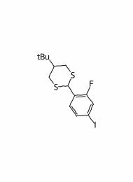 CC(C)(C)C1CSC(c2ccc(I)cc2F)SC1